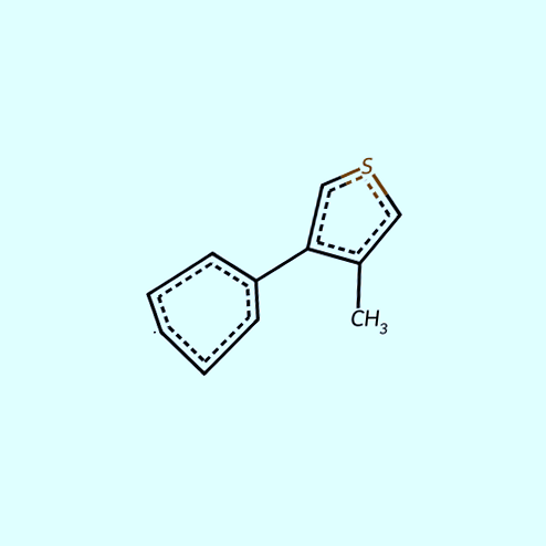 Cc1cscc1-c1cc[c]cc1